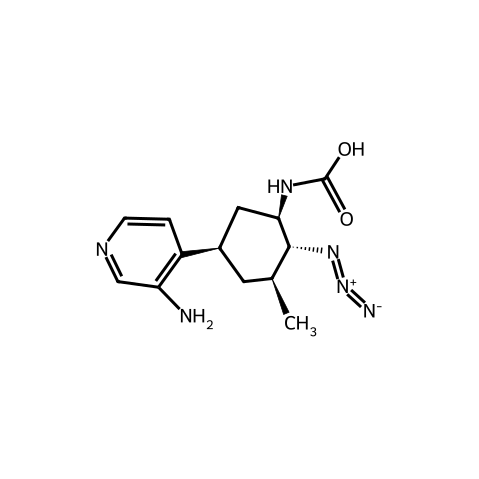 C[C@H]1C[C@@H](c2ccncc2N)C[C@@H](NC(=O)O)[C@@H]1N=[N+]=[N-]